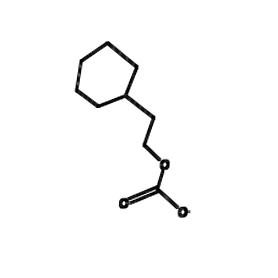 [O]C(=O)OCCC1CCCCC1